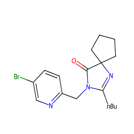 CCCCC1=NC2(CCCC2)C(=O)N1Cc1ccc(Br)cn1